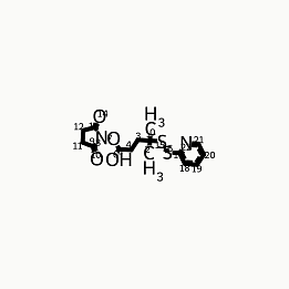 CC(C)(CCC(O)ON1C(=O)CCC1=O)SSc1ccccn1